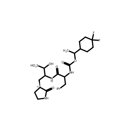 CC(C)CC(NC(=O)OC(C)C1CCC(F)(F)CC1)C(=O)NC(C[C@@H]1CCNC1=O)C(O)S(=O)(=O)O